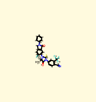 CC1(C)C(=O)N(c2ccc(C#N)c(C(F)(F)F)c2)C(=S)N1c1cc2c(cc1F)CN(c1ccccc1)C2=O